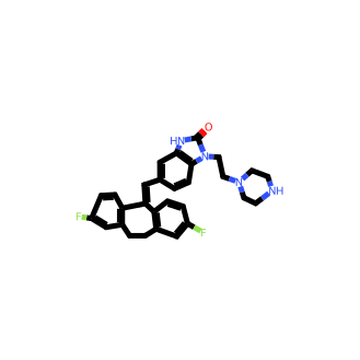 O=c1[nH]c2cc(C=C3c4ccc(F)cc4CCc4cc(F)ccc43)ccc2n1CCN1CCNCC1